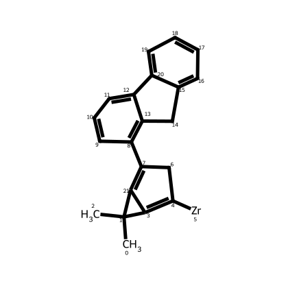 CC1(C)C2=[C]([Zr])CC(c3cccc4c3Cc3ccccc3-4)=C21